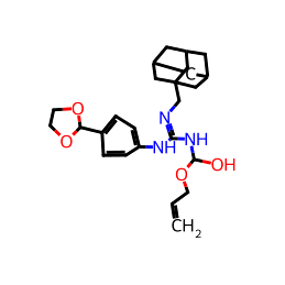 C=CCOC(O)N/C(=N\CC12CC3CC(CC(C3)C1)C2)Nc1ccc(C2OCCO2)cc1